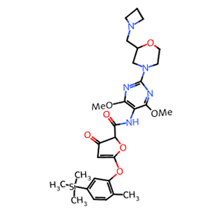 COc1nc(N2CCOC(CN3CCC3)C2)nc(OC)c1NC(=O)C1OC(Oc2cc([Si](C)(C)C)ccc2C)=CC1=O